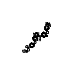 Cc1cc(Nc2ncnc3ccc(OC4CCN(C(=O)OC(C)(C)C)CC4)nc23)ccc1Oc1ccn2ncnc2c1